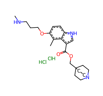 CNCCCOc1ccc2[nH]cc(C(=O)OCC34CCN(CC3)CC4)c2c1C.Cl.Cl